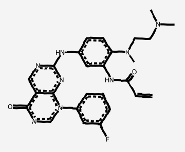 C=CC(=O)Nc1cc(Nc2ncc3c(=O)ncn(-c4cccc(F)c4)c3n2)ccc1N(C)CCN(C)C